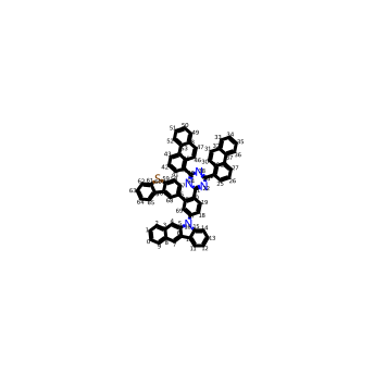 c1ccc2cc3c(cc2c1)c1ccccc1n3-c1ccc(-c2nc(-c3cccc4c3ccc3ccccc34)nc(-c3cccc4c3ccc3ccccc34)n2)c(-c2ccc3sc4ccccc4c3c2)c1